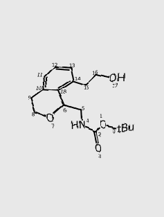 CC(C)(C)OC(=O)NCC1OCCc2cccc(CCO)c21